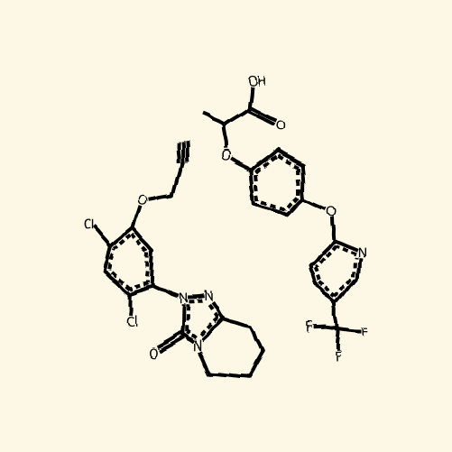 C#CCOc1cc(-n2nc3n(c2=O)CCCC3)c(Cl)cc1Cl.CC(Oc1ccc(Oc2ccc(C(F)(F)F)cn2)cc1)C(=O)O